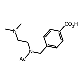 CC(=O)N(CCN(C)C)Cc1ccc(C(=O)O)cc1